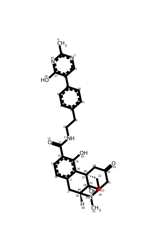 Cc1ncc(-c2ccc(CCNC(=O)c3ccc4c(c3O)[C@]35CCN(C)[C@H](C4)[C@]3(O)CCC(=O)C5)cc2)c(O)n1